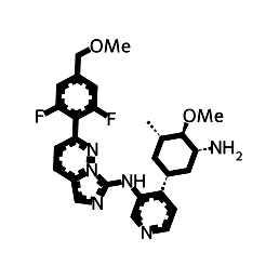 COCc1cc(F)c(-c2ccc3cnc(Nc4cnccc4[C@H]4C[C@@H](N)[C@H](OC)[C@@H](C)C4)n3n2)c(F)c1